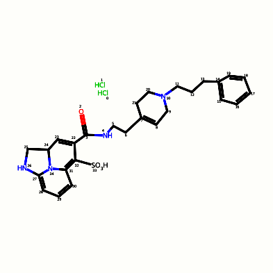 Cl.Cl.O=C(NCCC1=CCN(CCCc2ccccc2)CC1)C1=CC2CNC3=CC=CC(=C1S(=O)(=O)O)N32